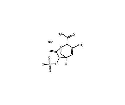 CC1=C[C@@H]2CN(C(=O)N2OS(=O)(=O)[O-])[C@@H]1C(N)=O.[Na+]